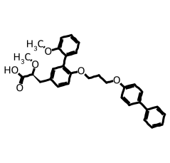 COc1ccccc1-c1cc(C[C@H](OC)C(=O)O)ccc1OCCCOc1ccc(-c2ccccc2)cc1